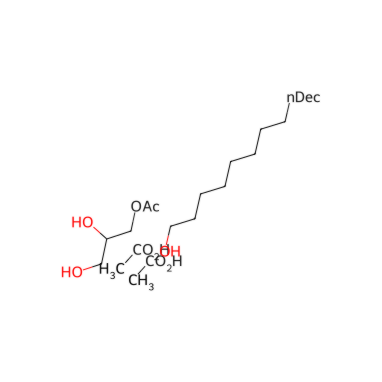 CC(=O)O.CC(=O)O.CC(=O)OCC(O)CO.CCCCCCCCCCCCCCCCCCO